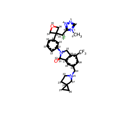 Cn1cnnc1[C@@H](F)C1(c2cccc(N3Cc4c(cc(CN5CCC6(CC6)C5)cc4C(F)(F)F)C3=O)c2)COC1